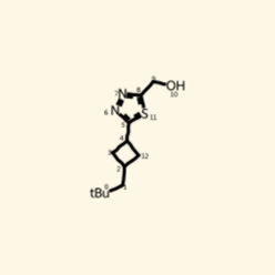 CC(C)(C)CC1CC(c2nnc(CO)s2)C1